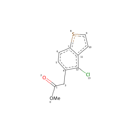 COC(=O)Cc1ccc2sccc2c1Cl